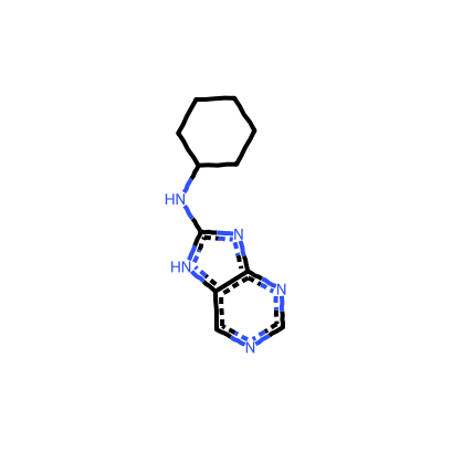 c1ncc2[nH]c(NC3CCCCC3)nc2n1